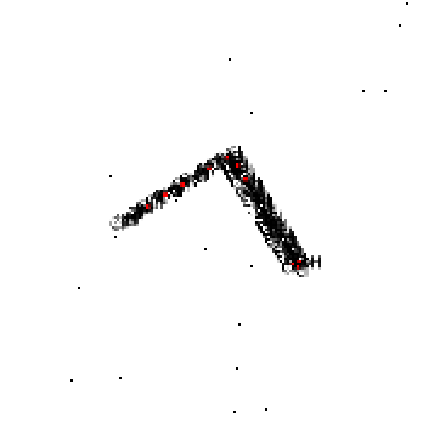 ClCCl.ClCCl.ClCCl.ClCCl.ClCCl.ClCCl.ClCCl.ClCCl.ClCCl.ClCCl.ClCCl.ClCCl.ClCCl.ClCCl.ClCCl.ClCCl.ClCCl.ClCCl.ClCCl.ClCCl.ClCCl.ClCCl.ClCCl.ClCCl.ClCCl.ClCCl.ClCCl.ClCCl.ClCCl.ClCCl.ClCCl.ClCCl.ClCCl.ClCCl.ClCCl.ClCCl.ClCCl.ClCCl.OCC(Cl)Cl